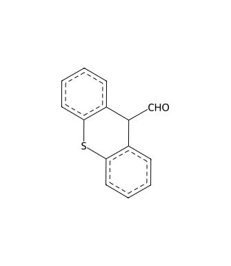 O=CC1c2ccccc2Sc2ccccc21